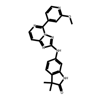 COc1cc(-c2nccc3nc(Nc4ccc5c(c4)NC(=O)C5(C)C)nn23)ccn1